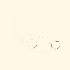 Cc1ccc(S(=O)(=O)O)c(C2CC[C@@]3(C)C(=CCC4C3CC[C@@]3(C)C4CC[C@@H]3[C@H](C)CCCC(C)C)C2)c1